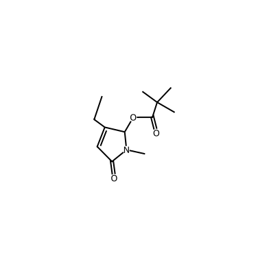 CCC1=CC(=O)N(C)C1OC(=O)C(C)(C)C